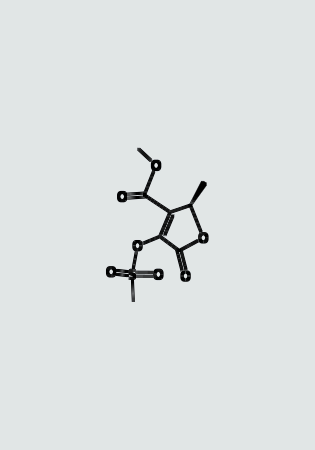 COC(=O)C1=C(OS(C)(=O)=O)C(=O)O[C@@H]1C